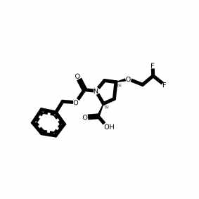 O=C(O)[C@@H]1C[C@H](OCC(F)F)CN1C(=O)OCc1ccccc1